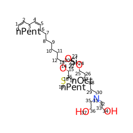 CCCCC/C=C\C/C=C\CCCCCCCC(OCC(CCCCCCCC)SCCCCC)O[Si](C)(C)OCCCCCCN(CCO)CCO